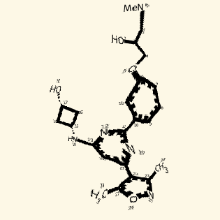 CNCC(O)COc1cccc(-c2nc(N[C@H]3C[C@@H](O)C3)cc(-c3c(C)noc3C)n2)c1